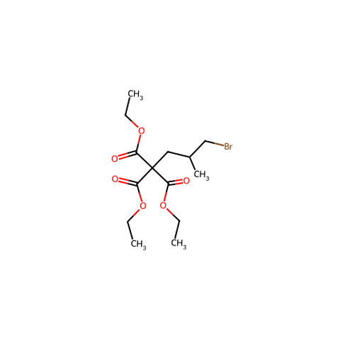 CCOC(=O)C(CC(C)CBr)(C(=O)OCC)C(=O)OCC